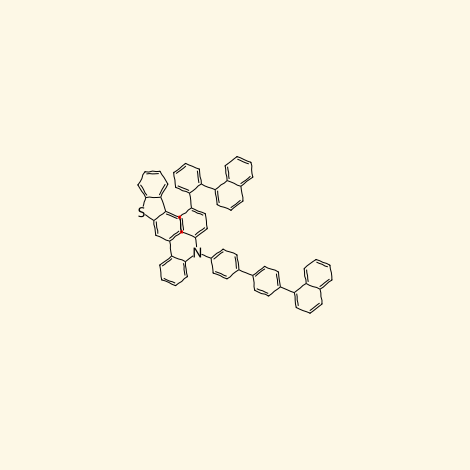 c1ccc(-c2cccc3ccccc23)c(-c2ccc(N(c3ccc(-c4ccc(-c5cccc6ccccc56)cc4)cc3)c3ccccc3-c3ccc4c(c3)sc3ccccc34)cc2)c1